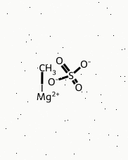 CI.O=S(=O)([O-])[O-].[Mg+2]